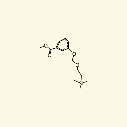 COC(=O)c1cccc(OCOCC[Si](C)(C)C)c1